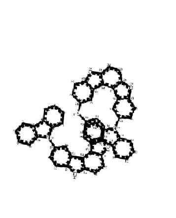 c1ccc2c(c1)c1ccccc1n2-c1ccc2oc3ccc4oc5ccc(Sc6ccc7oc8ccc9oc%10ccc(-n%11c%12ccccc%12c%12ccccc%12%11)cc%10c9c8c7c6)cc5c4c3c2c1